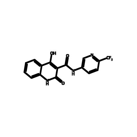 O=C(Nc1ccc(C(F)(F)F)nc1)c1c(O)c2ccccc2[nH]c1=O